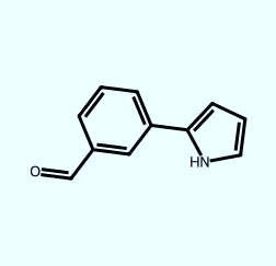 O=Cc1cccc(-c2ccc[nH]2)c1